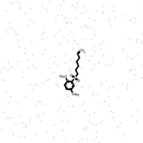 C=CCCCCCS(=O)(=O)c1cc(OC)ccc1OC